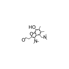 Cc1c(C)c(CN(C)C)c2c(N(C)C)c(CC=O)oc2c1O